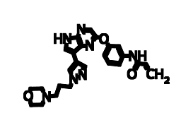 C=CC(=O)Nc1cccc(Oc2cnc3[nH]cc(-c4cnn(CCCN5CCOCC5)c4)c3n2)c1